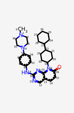 CN1CCN(c2ccc(Nc3ncc4ccc(=O)n(C5CCC(C6CCCCC6)CC5)c4n3)cc2)CC1